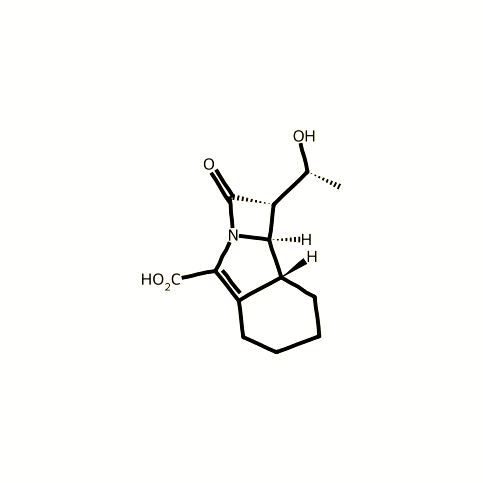 C[C@@H](O)[C@H]1C(=O)N2C(C(=O)O)=C3CCCC[C@H]3[C@H]12